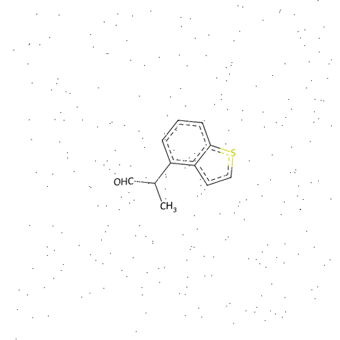 CC(C=O)c1cccc2sccc12